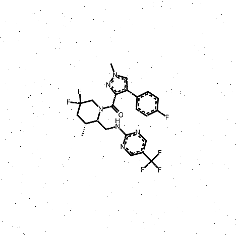 C[C@@H]1CC(F)(F)CN(C(=O)c2nn(C)cc2-c2ccc(F)cc2)C1CNc1ncc(C(F)(F)F)cn1